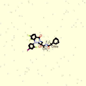 CO[C@](C(=O)NC(C)C1(O)CN(C(=O)c2ccc(F)c(F)c2Nc2ccc(I)cc2F)C1)(c1ccccc1)C(F)(F)F